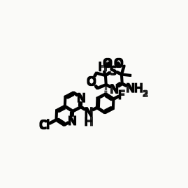 CC1(C)C(N)=N[C@@]2(c3cc(Nc4nccc5cc(Cl)cnc45)ccc3F)COC[C@@H]2S1(=O)=O